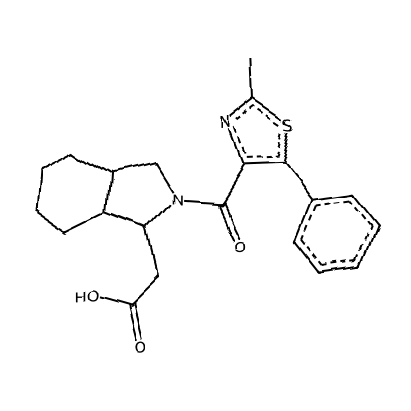 Cc1nc(C(=O)N2CC3CCCCC3C2CC(=O)O)c(-c2ccccc2)s1